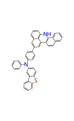 c1ccc(N(c2ccc(-c3cc4c5c(cccc5c3)Nc3c-4ccc4ccccc34)cc2)c2ccc3sc4ccccc4c3c2)cc1